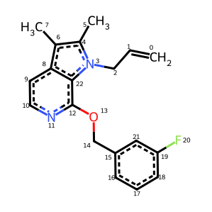 C=CCn1c(C)c(C)c2ccnc(OCc3cccc(F)c3)c21